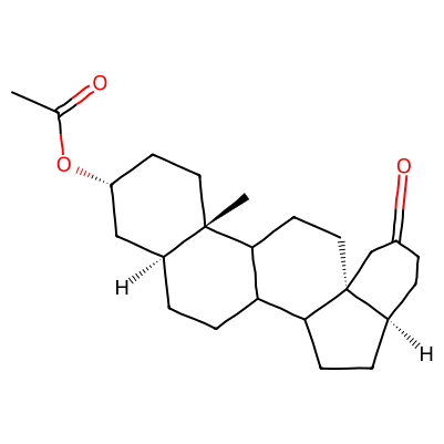 CC(=O)O[C@@H]1CC[C@]2(C)C3CC[C@]45CC(=O)CC[C@H]4CCC5C3CC[C@H]2C1